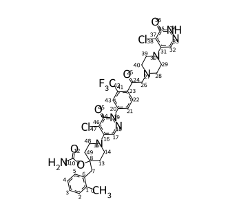 Cc1ccccc1CC1(OC(N)=O)CCN(c2cnn(-c3ccc(C(=O)CN4CCN(c5cn[nH]c(=O)c5Cl)CC4)c(C(F)(F)F)c3)c(=O)c2Cl)CC1